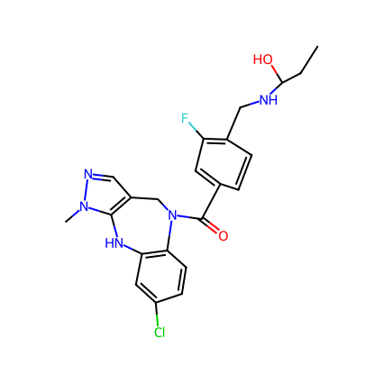 CCC(O)NCc1ccc(C(=O)N2Cc3cnn(C)c3Nc3cc(Cl)ccc32)cc1F